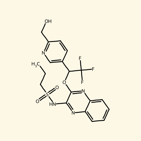 CCCS(=O)(=O)Nc1nc2ccccc2nc1OC(c1ccc(CO)nc1)C(F)(F)F